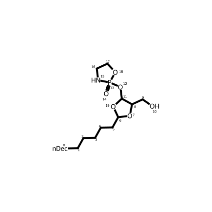 CCCCCCCCCCCCCCCC1OC(CO)C(OP2(=O)NCCO2)O1